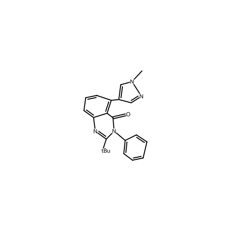 Cn1cc(-c2cccc3nc(C(C)(C)C)n(-c4ccccc4)c(=O)c23)cn1